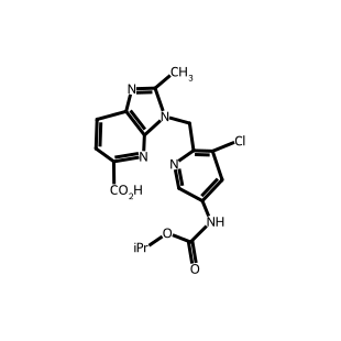 Cc1nc2ccc(C(=O)O)nc2n1Cc1ncc(NC(=O)OC(C)C)cc1Cl